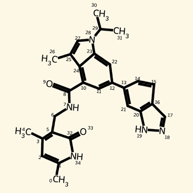 Cc1cc(C)c(CNC(=O)c2cc(-c3ccc4cn[nH]c4c3)cc3c2c(C)cn3C(C)C)c(=O)[nH]1